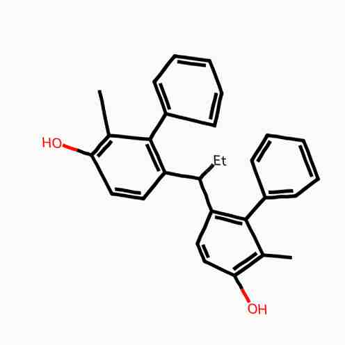 CCC(c1ccc(O)c(C)c1-c1ccccc1)c1ccc(O)c(C)c1-c1ccccc1